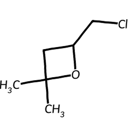 CC1(C)CC(CCl)O1